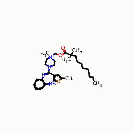 CCCCCCCCC(C)(C)C(=O)OC[N+]1(C)CCN(C2=Nc3ccccc3Nc3sc(C)cc32)CC1